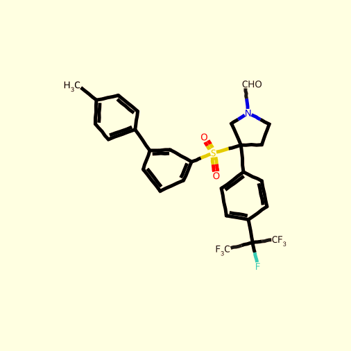 Cc1ccc(-c2cccc(S(=O)(=O)C3(c4ccc(C(F)(C(F)(F)F)C(F)(F)F)cc4)CCN(C=O)C3)c2)cc1